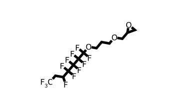 FC(CC(F)(F)F)C(F)(F)C(F)(F)C(F)(F)C(F)(F)OCCCOCC1CO1